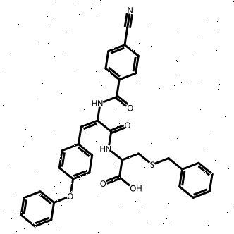 N#Cc1ccc(C(=O)NC(=Cc2ccc(Oc3ccccc3)cc2)C(=O)NC(CSCc2ccccc2)C(=O)O)cc1